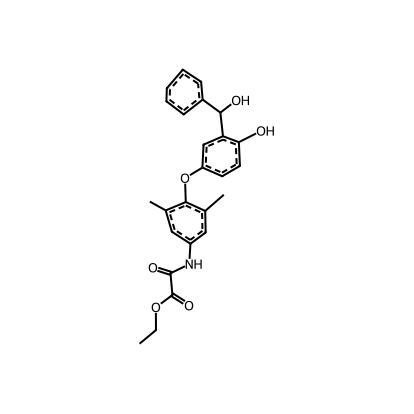 CCOC(=O)C(=O)Nc1cc(C)c(Oc2ccc(O)c(C(O)c3ccccc3)c2)c(C)c1